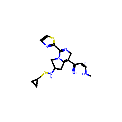 CN/C=C\C(=N)C1=C2CC(NSC3CC3)CN2C(c2nccs2)=NC1